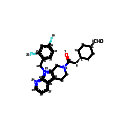 O=C[C@H]1CC[C@H](CC(=O)N2CCc3c(n(Cc4ccc(F)cc4F)c4ncccc34)C2)CC1